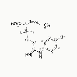 CC(=O)NC(C(=O)O)C(C)(C)SSC(=N)Nc1ccc(Cl)cc1.Cl